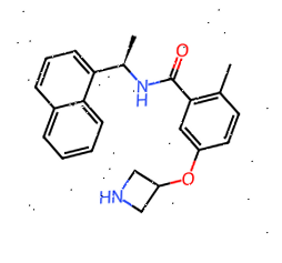 Cc1ccc(OC2CNC2)cc1C(=O)N[C@H](C)c1cccc2ccccc12